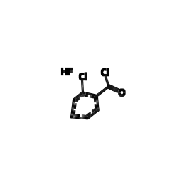 F.O=C(Cl)c1ccccc1Cl